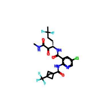 CNC(=O)C(=O)[C@H](CCC(C)(F)F)NC(=O)c1cc(Cl)cnc1NC(=O)C12CC(C(F)(F)F)(C1)C2